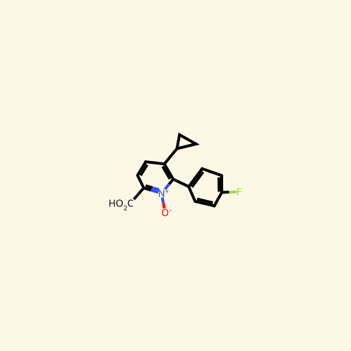 O=C(O)c1ccc(C2CC2)c(-c2ccc(F)cc2)[n+]1[O-]